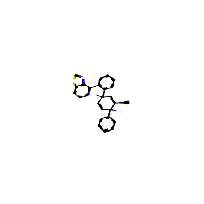 C#CC1=CC(N)(c2ccccc2-c2cccc3scnc23)C=CC1(N)c1ccccc1